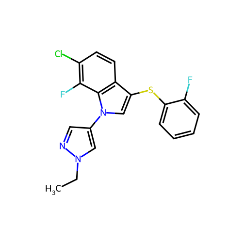 CCn1cc(-n2cc(Sc3ccccc3F)c3ccc(Cl)c(F)c32)cn1